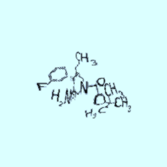 CCC[C@H]1CN(C(=O)OC(C)(C)C)C[C@@H](N)[C@@H]1c1cccc(F)c1